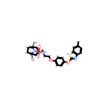 Cc1ccc2nc(Oc3ccc(OCCNC4C[C@H]5CC[C@@H](C4)N5S(C)(=O)=O)cc3)sc2c1